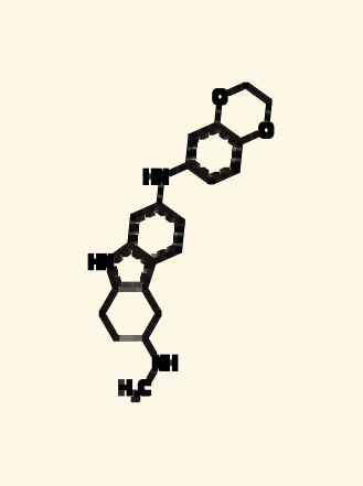 CNC1CCc2[nH]c3cc(Nc4ccc5c(c4)OCCO5)ccc3c2C1